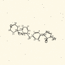 CC(C)n1cnn(-c2ccc(Sc3cccc(C4(C#N)CCOCC4)c3)cc2)c1=O